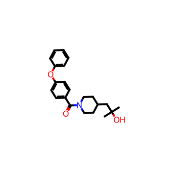 CC(C)(O)CC1CCN(C(=O)c2ccc(Oc3ccccc3)cc2)CC1